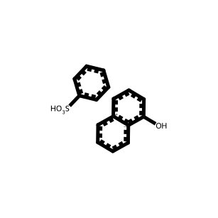 O=S(=O)(O)c1ccccc1.Oc1cccc2ccccc12